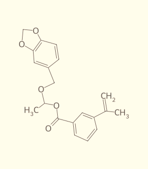 C=C(C)c1cccc(C(=O)OC(C)OCc2ccc3c(c2)OCO3)c1